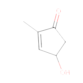 CC1=CC(O)CC1=O